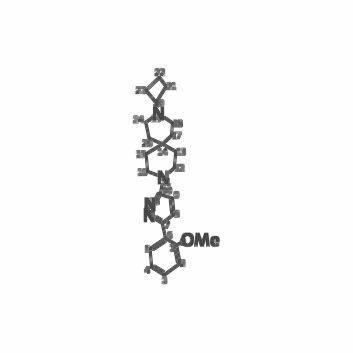 COc1ccccc1-c1ccc(N2CCC3(CC2)CCN(C2CCC2)CC3)nn1